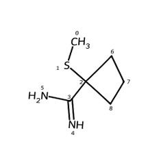 CSC1(C(=N)N)CCC1